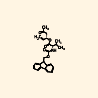 C=C[C@H](CC(C)=O)OC(=O)[C@@H](NC(=O)OCC1c2ccccc2-c2ccccc21)C(C)C